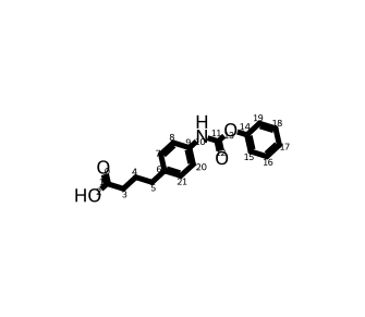 O=C(O)CCCc1ccc(NC(=O)Oc2ccccc2)cc1